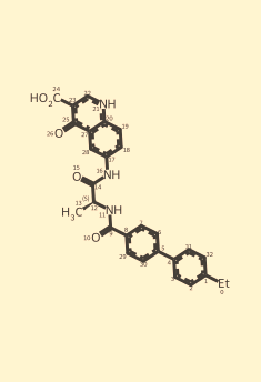 CCc1ccc(-c2ccc(C(=O)N[C@@H](C)C(=O)Nc3ccc4[nH]cc(C(=O)O)c(=O)c4c3)cc2)cc1